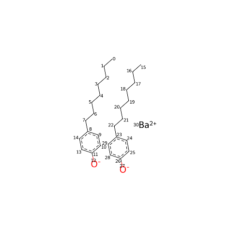 CCCCCCCCc1ccc([O-])cc1.CCCCCCCCc1ccc([O-])cc1.[Ba+2]